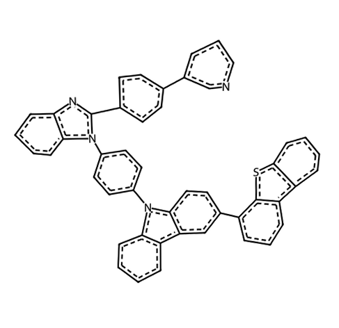 c1cncc(-c2ccc(-c3nc4ccccc4n3-c3ccc(-n4c5ccccc5c5cc(-c6cccc7c6sc6ccccc67)ccc54)cc3)cc2)c1